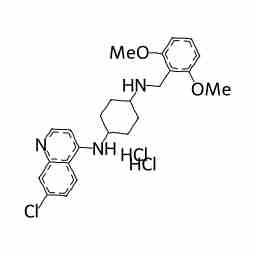 COc1cccc(OC)c1CNC1CCC(Nc2ccnc3cc(Cl)ccc23)CC1.Cl.Cl